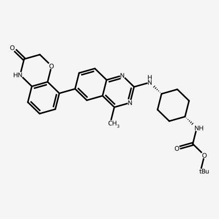 Cc1nc(N[C@H]2CC[C@@H](NC(=O)OC(C)(C)C)CC2)nc2ccc(-c3cccc4c3OCC(=O)N4)cc12